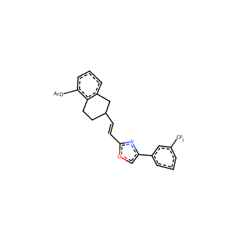 CC(=O)Oc1cccc2c1CCC(C=Cc1nc(-c3cccc(C(F)(F)F)c3)co1)C2